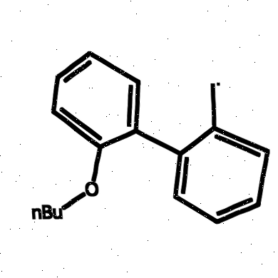 [CH2]c1ccccc1-c1ccccc1OCCCC